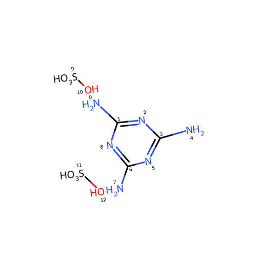 Nc1nc(N)nc(N)n1.O=S(=O)(O)O.O=S(=O)(O)O